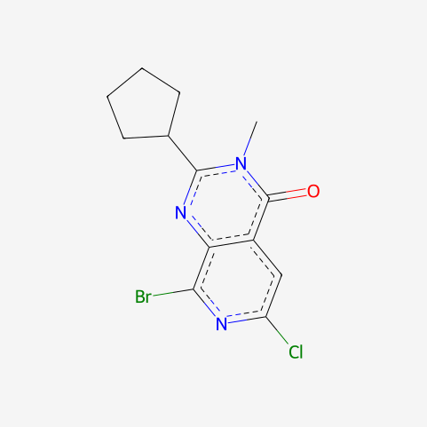 Cn1c(C2CCCC2)nc2c(Br)nc(Cl)cc2c1=O